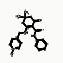 CC1(C)CC(=O)C(C(=S)Nc2ccccc2)=C(NCc2cc[n+]([O-])cc2)C1